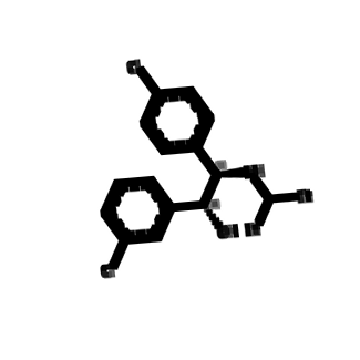 CCC(CC)N[C@H](c1ccc(Cl)cc1)[C@H](O)c1cccc(Cl)c1